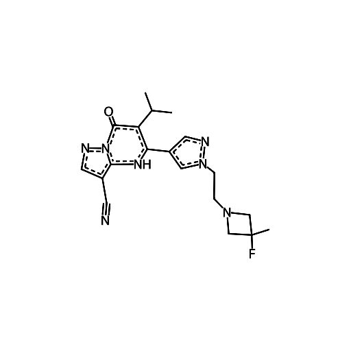 CC(C)c1c(-c2cnn(CCN3CC(C)(F)C3)c2)[nH]c2c(C#N)cnn2c1=O